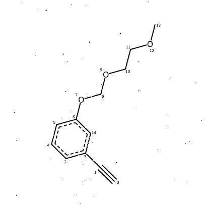 C#Cc1cccc(OCOCCOC)c1